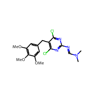 COc1cc(Cc2c(Cl)nc(N=CN(C)C)nc2Cl)cc(OC)c1OC